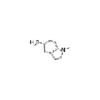 Bc1ccc2c(ccn2C)c1